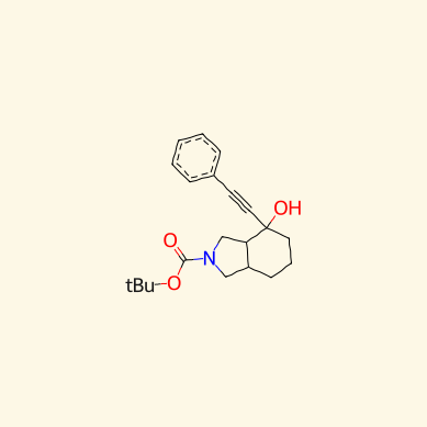 CC(C)(C)OC(=O)N1CC2CCCC(O)(C#Cc3ccccc3)C2C1